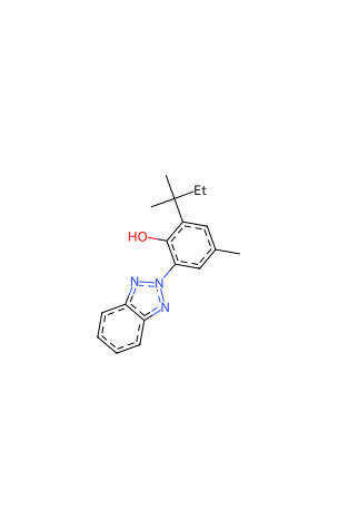 CCC(C)(C)c1cc(C)cc(-n2nc3ccccc3n2)c1O